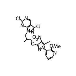 COc1ncccc1-n1nc(OCC(C)Cn2nc(Cl)c3cnc(Cl)nc32)c([N+](=O)[O-])c1C